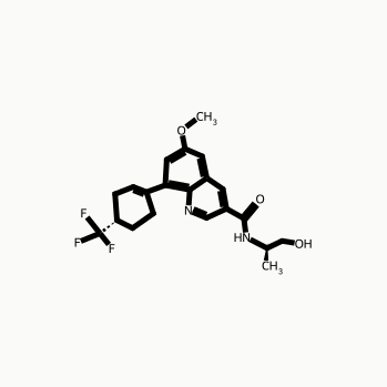 COc1cc(C2=CC[C@@H](C(F)(F)F)CC2)c2ncc(C(=O)N[C@H](C)CO)cc2c1